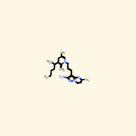 C=C1C(C(C)CCCC)CC(C)=CN1CCCc1c(N)nn2ccc(C)nc12